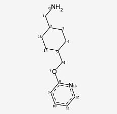 NCC1CCC(COc2ccccn2)CC1